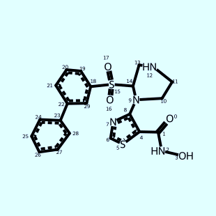 O=C(NO)c1scnc1N1CCNCC1S(=O)(=O)c1cccc(-c2ccccc2)c1